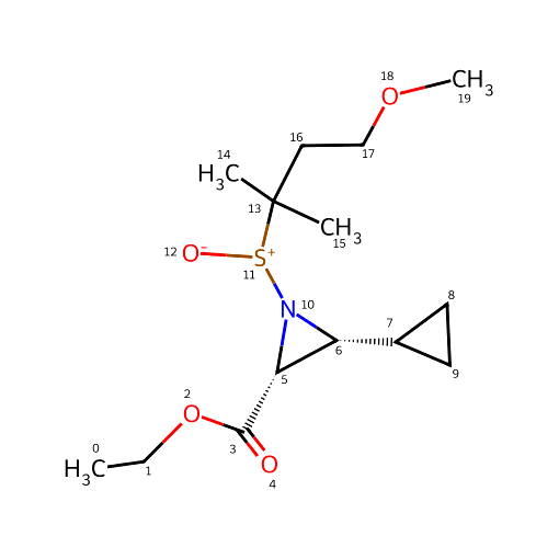 CCOC(=O)[C@H]1[C@@H](C2CC2)N1[S+]([O-])C(C)(C)CCOC